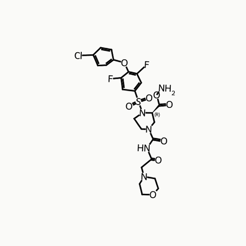 NOC(=O)[C@H]1CN(C(=O)NC(=O)CN2CCOCC2)CCN1S(=O)(=O)c1cc(F)c(Oc2ccc(Cl)cc2)c(F)c1